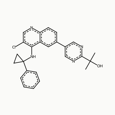 CC(C)(O)c1ncc(-c2ccc3ncc(Cl)c(NC4(c5ccccc5)CC4)c3c2)cn1